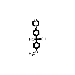 C#CC(O)(c1ccc(N2CCOCC2)cc1)C1C=CC(OC)=CC1